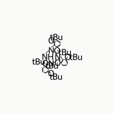 CC(C)(C)Oc1cccc(OC(C)(C)C)c1CN1CCNCCN(Cc2c(OC(C)(C)C)cccc2OC(C)(C)C)CCN(Cc2c(OC(C)(C)C)cccc2OC(C)(C)C)CC1